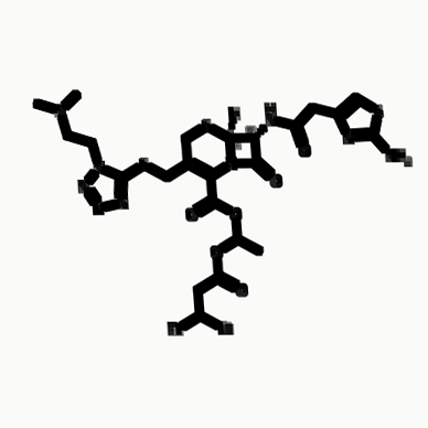 CCC(CC)CC(=O)OC(C)OC(=O)C1=C(CSc2nnnn2CCN(C)C)CS[C@H]2[C@H](NC(=O)Cc3csc(N)n3)C(=O)N12